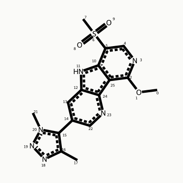 COc1ncc(S(C)(=O)=O)c2[nH]c3cc(-c4c(C)nnn4C)cnc3c12